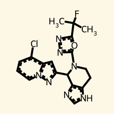 CC(C)(F)c1nnc(N2CCc3[nH]cnc3C2c2cc3c(Cl)cccn3n2)o1